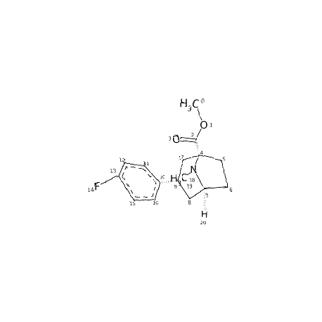 COC(=O)[C@@]12CC[C@@H](C[C@H](c3ccc(F)cc3)C1)N2C